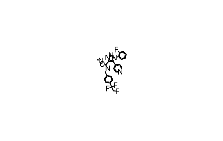 C=NO/C(=N\Cc1ccc(C(F)(F)CF)cc1)c1nnn(-c2ccccc2F)c1-c1ccncc1